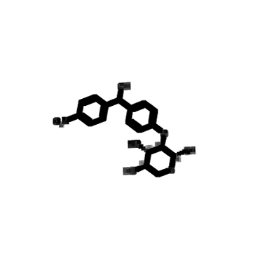 O=[N+]([O-])c1ccc(C(O)c2ccc(O[C@@H]3[C@@H](O)[C@H](O)CS[C@H]3S)cc2)cc1